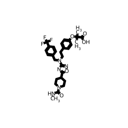 CNC(=O)N1CCC(c2nc(N(CCc3ccc(OC(C)(C)C(=O)O)cc3)Cc3ccc(C(F)(F)F)cc3)no2)CC1